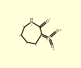 O=C1NCCCCC1=S(=O)=O